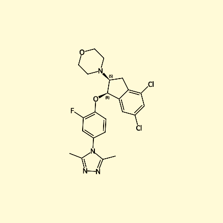 Cc1nnc(C)n1-c1ccc(O[C@@H]2c3cc(Cl)cc(Cl)c3C[C@@H]2N2CCOCC2)c(F)c1